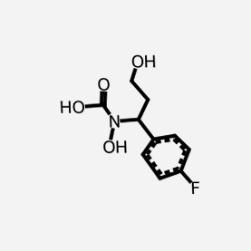 O=C(O)N(O)C(CCO)c1ccc(F)cc1